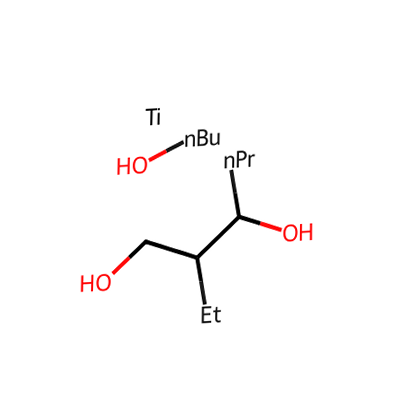 CCCC(O)C(CC)CO.CCCCO.[Ti]